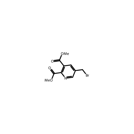 COC(=O)c1cc(CBr)cnc1C(=O)OC